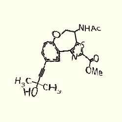 COC(=O)c1nc2c(s1)C(NC(C)=O)COc1ccc(C#CC(C)(C)O)cc1-2